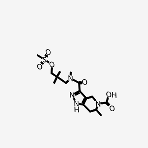 CC1Cc2[nH]nc(C(=O)N(C)CC(C)(C)COS(C)(=O)=O)c2CN1C(=O)O